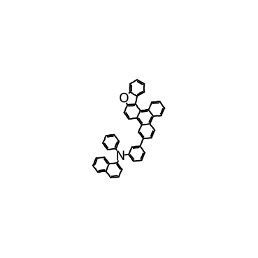 c1ccc(N(c2cccc(-c3ccc4c5ccccc5c5c(ccc6oc7ccccc7c65)c4c3)c2)c2cccc3ccccc23)cc1